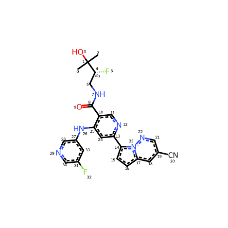 CC(C)(O)[C@H](F)CNC(=O)c1cnc(-c2ccc3cc(C#N)cnn23)cc1Nc1cncc(F)c1